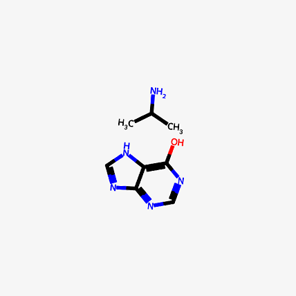 CC(C)N.Oc1ncnc2nc[nH]c12